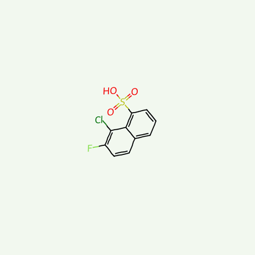 O=S(=O)(O)c1cccc2ccc(F)c(Cl)c12